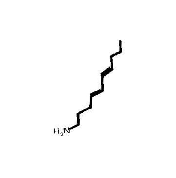 CCC/C=C/C=C/CCCN